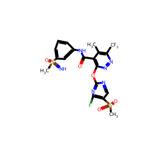 Cc1c(C(F)(F)F)nnc(Oc2ncc(S(C)(=O)=O)c(F)n2)c1C(=O)Nc1cccc(S(C)(=N)=O)c1